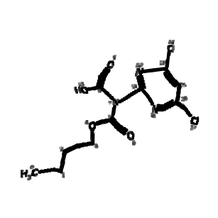 CCCCOC(=O)N(C(=O)O)c1nc(Cl)cc(Cl)n1